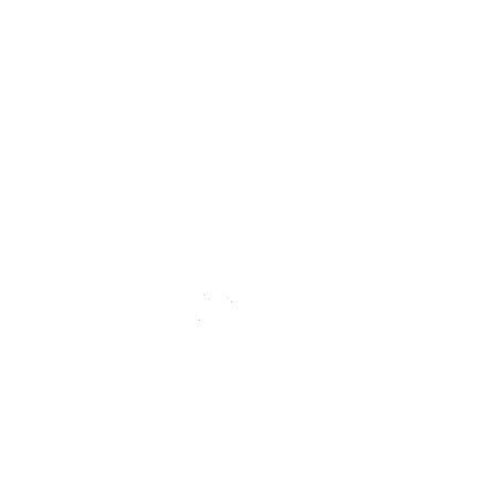 OC/C(F)=C/c1ccc(-n2ccnn2)cc1